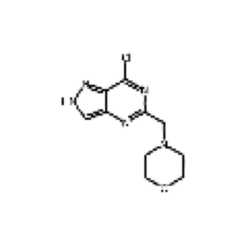 Clc1nc(CN2CCOCC2)nc2c[nH]nc12